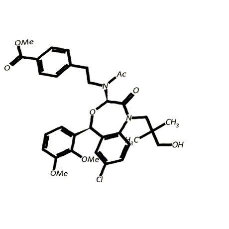 COC(=O)c1ccc(CCN(C(C)=O)[C@@H]2O[C@H](c3cccc(OC)c3OC)c3cc(Cl)ccc3N(CC(C)(C)CO)C2=O)cc1